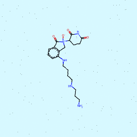 NCCCNCCCCNc1cccc2c1C[N+]([O-])(C1CCC(=O)NC1=O)C2=O